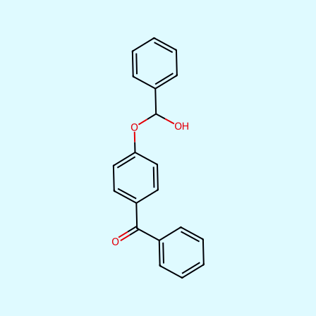 O=C(c1ccccc1)c1ccc(OC(O)c2ccccc2)cc1